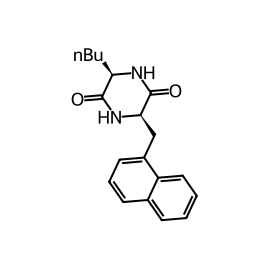 CCCC[C@H]1NC(=O)[C@@H](Cc2cccc3ccccc23)NC1=O